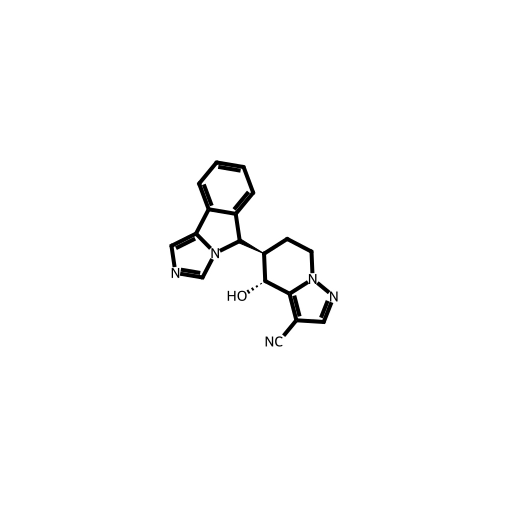 N#Cc1cnn2c1[C@H](O)[C@@H](C1c3ccccc3-c3cncn31)CC2